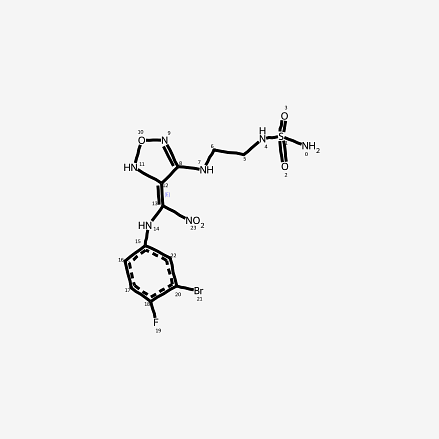 NS(=O)(=O)NCCNC1=NON/C1=C(\Nc1ccc(F)c(Br)c1)[N+](=O)[O-]